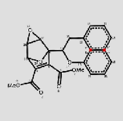 COC(=O)C1=C(C(=O)OC)C2(C(Cc3ccccc3)Oc3ccccc3)OC1C1OC12